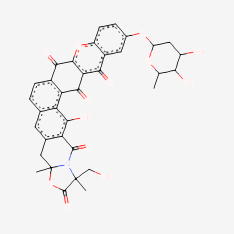 CC1OC(Oc2ccc3oc4c(c(=O)c3c2)C(=O)c2c(ccc3cc5c(c(O)c23)C(=O)N2C(C)(C5)OC(=O)C2(C)CO)C4=O)CC(O)C1O